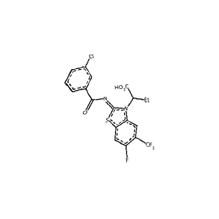 CCC(C(=O)O)n1c(=NC(=O)c2cccc(Cl)c2)sc2cc(F)c(C(F)(F)F)cc21